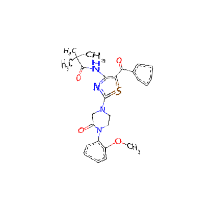 COc1ccccc1N1CCN(c2nc(NC(=O)C(C)(C)C)c(C(=O)c3ccccc3)s2)CC1=O